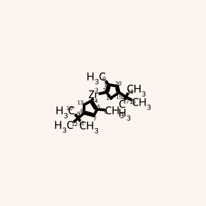 CC1=[C]([Zr][C]2=C(C)C=C(C(C)(C)C)C2)CC(C(C)(C)C)=C1